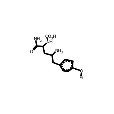 CCOc1ccc(CC(N)CC(NC(=O)O)C(N)=O)cc1